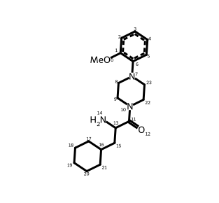 COc1ccccc1N1CCN(C(=O)C(N)CC2CCCCC2)CC1